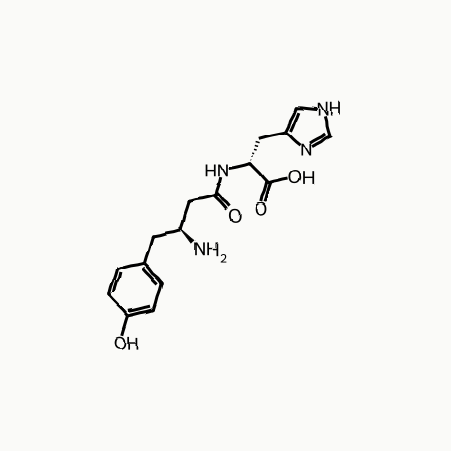 N[C@H](CC(=O)N[C@H](Cc1c[nH]cn1)C(=O)O)Cc1ccc(O)cc1